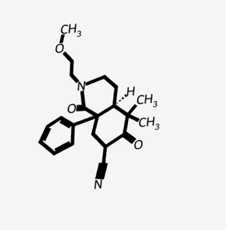 COCCN1CC[C@H]2C(C)(C)C(=O)C(C#N)CC2(c2ccccc2)C1=O